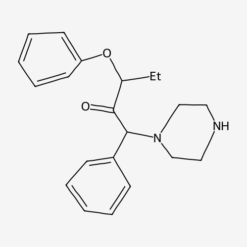 CCC(Oc1ccccc1)C(=O)C(c1ccccc1)N1CCNCC1